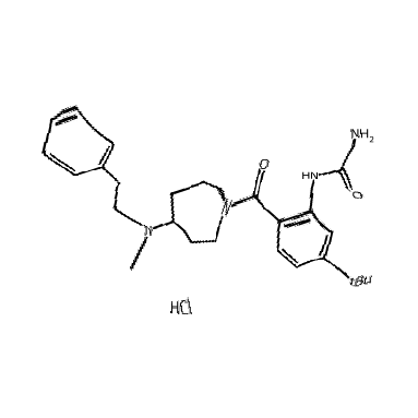 CN(CCc1ccccc1)C1CCN(C(=O)c2ccc(C(C)(C)C)cc2NC(N)=O)CC1.Cl